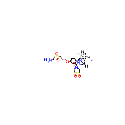 CC1(C)C[C@@H]2CN(C(=O)N3CCS(=O)(=O)CC3)C[C@H]1N(c1ccc(OCCCS(=O)(=O)CCN)cc1)C2